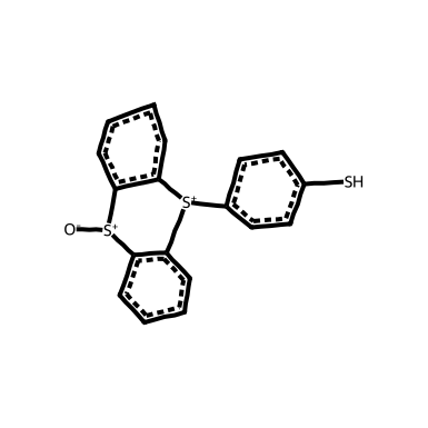 [O-][S+]1c2ccccc2[S+](c2ccc(S)cc2)c2ccccc21